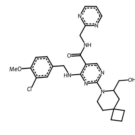 COc1ccc(CNc2nc(N3CCC4(CCC4)CC3CO)ncc2C(=O)NCc2ncccn2)cc1Cl